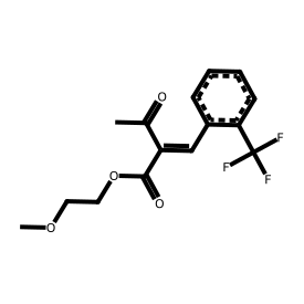 COCCOC(=O)/C(=C/c1ccccc1C(F)(F)F)C(C)=O